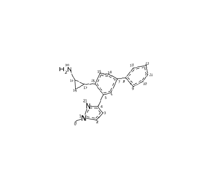 Cn1ccc(-c2cc(-c3ccccc3)ccc2C2CC2N)n1